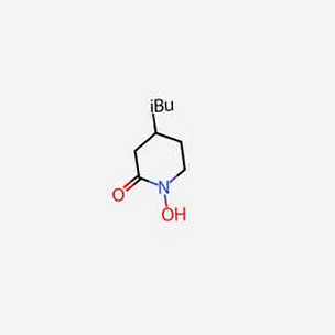 CCC(C)C1CCN(O)C(=O)C1